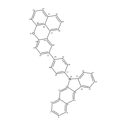 c1ccc2cc3c(cc2c1)c1ccccc1n3-c1ccc(-c2ccc3c(c2)-c2cccc4cccc(c24)O3)cc1